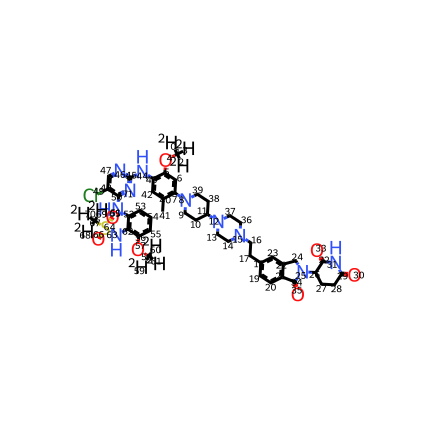 [2H]C([2H])([2H])Oc1cc(N2CCC(N3CCN(CCc4ccc5c(c4)CN(C4CCC(=O)NC4=O)C5=O)CC3)CC2)c(C)cc1Nc1ncc(Cl)c(Nc2cccc(OC([2H])([2H])[2H])c2NS(=O)(=O)C([2H])([2H])[2H])n1